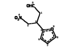 O=CCC(C[N+](=O)[O-])c1ccco1